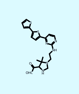 CC1(C)C(C(=O)C=O)NCN1CCNc1nccc(-c2ccc(-c3cccs3)s2)n1